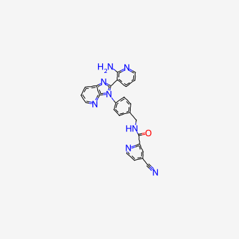 N#Cc1ccnc(C(=O)NCc2ccc(-n3c(-c4cccnc4N)nc4cccnc43)cc2)c1